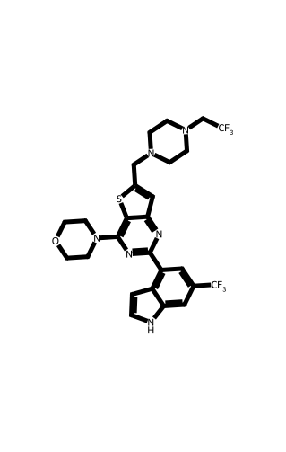 FC(F)(F)CN1CCN(Cc2cc3nc(-c4cc(C(F)(F)F)cc5[nH]ccc45)nc(N4CCOCC4)c3s2)CC1